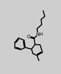 CCCCCNC(=O)C1CC=C(C)CC1c1ccccc1